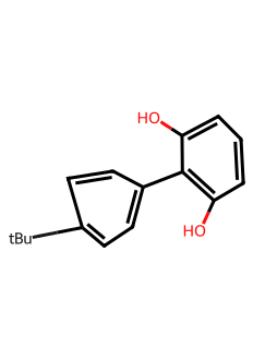 CC(C)(C)c1ccc(-c2c(O)cccc2O)cc1